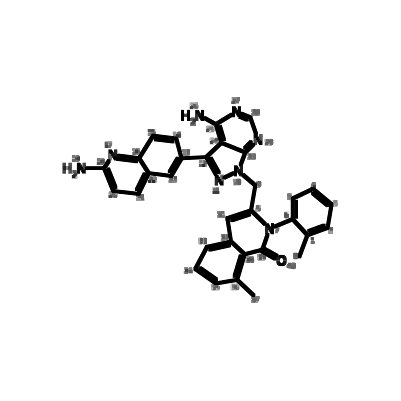 Cc1ccccc1-n1c(Cn2nc(-c3ccc4nc(N)ccc4c3)c3c(N)ncnc32)cc2cccc(C)c2c1=O